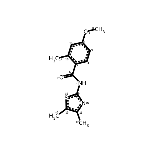 COc1ccc(C(=O)Nc2nc(C)c(C)s2)c(C)c1